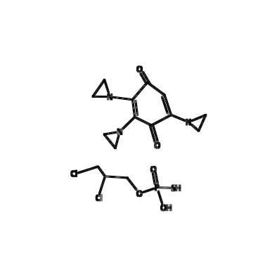 O=C1C=C(N2CC2)C(=O)C(N2CC2)=C1N1CC1.O=P(O)(S)OCC(Cl)CCl